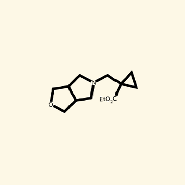 CCOC(=O)C1(CN2CC3COCC3C2)CC1